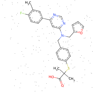 Cc1cc(-c2cc(N(Cc3ccc(SC(C)(C)C(=O)O)cc3)Cc3ccco3)ncn2)ccc1F